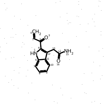 C=CC(=O)c1[nH]c2ccccc2c1CC(N)=O